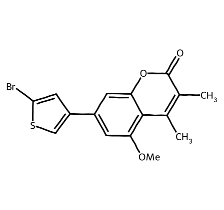 COc1cc(-c2csc(Br)c2)cc2oc(=O)c(C)c(C)c12